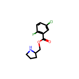 O=C(OCC1CCCN1)c1cc(Cl)ccc1F